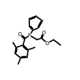 CCOC(=O)CP(C(=O)c1c(C)cc(C)cc1C)c1ccccc1